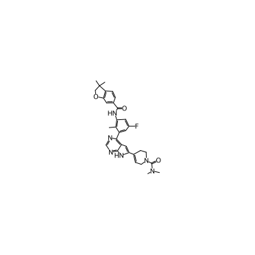 Cc1c(NC(=O)c2ccc3c(c2)OCC3(C)C)cc(F)cc1-c1ncnc2[nH]c(C3=CCN(C(=O)N(C)C)CC3)cc12